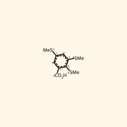 CSc1cc(SC)c(SC)c(C(=O)O)c1